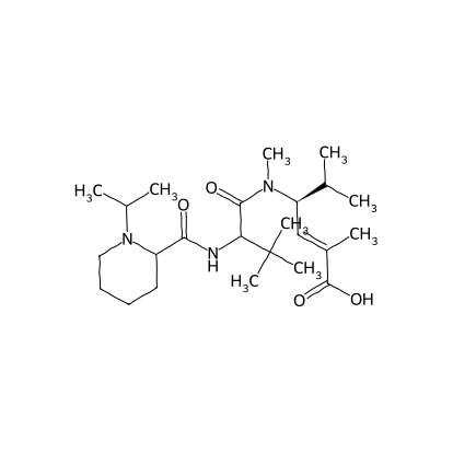 C/C(=C\[C@H](C(C)C)N(C)C(=O)C(NC(=O)C1CCCCN1C(C)C)C(C)(C)C)C(=O)O